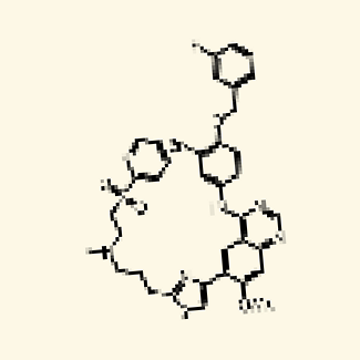 COc1cc2ncnc(Nc3ccc(OCc4cccc(F)c4)c(Br)c3)c2cc1-c1csc(CCCN(C)CCS(=O)(=O)c2ccccn2)n1